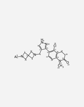 CC(=O)N1CC2(CN(Cc3c[nH]nc3-c3ccc4c(c3Cl)CCC(=O)N4C)C2)C1